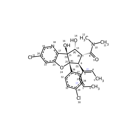 C/C=C\C(=C/C)[C@@H]1[C@@H](C(=O)N(C)C)[C@@H](O)[C@@]2(O)c3ncc(Cl)cc3O[C@@]12c1ccc(Cl)cc1